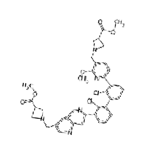 COC(=O)C1CN(Cc2cnc3cc(-c4cccc(-c5cccc(-c6ccc(CN7CC(C(=O)OC)C7)c(OC)n6)c5Cl)c4Cl)ncc3c2)C1